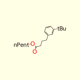 CCCCCOC(=O)CCCc1cccc(C(C)(C)C)c1